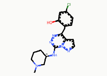 CN1CCC[C@@H](Nc2nnc(-c3ccc(Cl)cc3O)c3ccnn23)C1